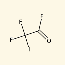 O=C(F)C(F)(F)I